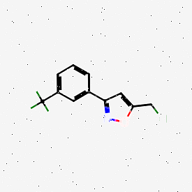 FC(F)(F)c1cccc(-c2cc(CCl)on2)c1